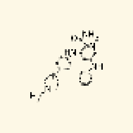 CN1CCN(c2ccc(Nc3cc(Nc4ccccc4)cnc3C(N)=O)cc2)CC1